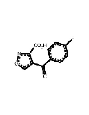 O=C(c1ccc(F)cc1)c1conc1C(=O)O